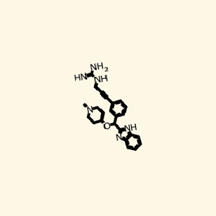 CN1CCC(OC(c2cccc(C#CCNC(=N)N)c2)c2nc3ccccc3[nH]2)CC1